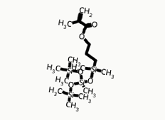 C=C(C)C(=O)OCCC[Si](C)(C)O[Si](C)(O[Si](C)(C)C)O[Si](C)(C)C